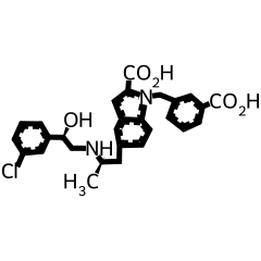 C[C@H](Cc1ccc2c(c1)cc(C(=O)O)n2Cc1cccc(C(=O)O)c1)NC[C@H](O)c1cccc(Cl)c1